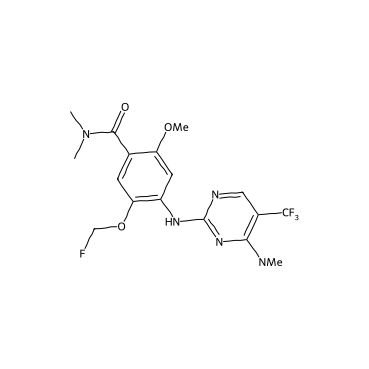 CNc1nc(Nc2cc(OC)c(C(=O)N(C)C)cc2OCF)ncc1C(F)(F)F